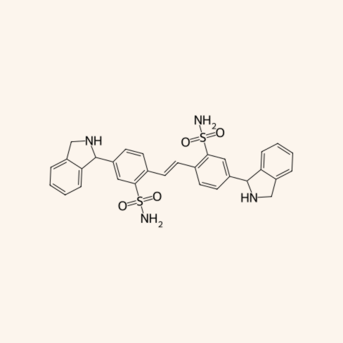 NS(=O)(=O)c1cc(C2NCc3ccccc32)ccc1/C=C/c1ccc(C2NCc3ccccc32)cc1S(N)(=O)=O